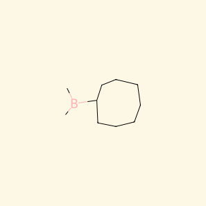 CB(C)C1CCCCCCC1